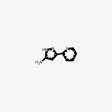 Nc1cc(-c2ccccn2)n[nH]1